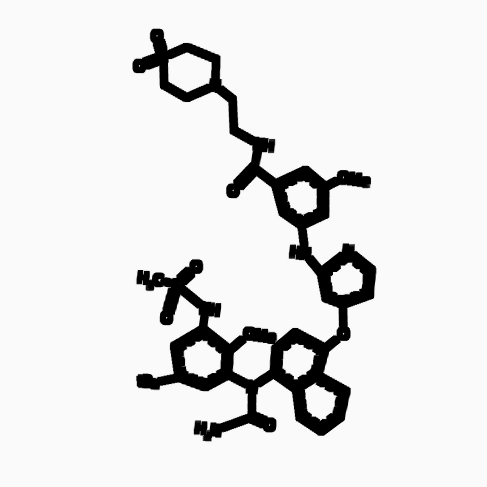 COc1cc(Nc2cc(Oc3ccc(N(C(N)=O)c4cc(C(C)(C)C)cc(NS(C)(=O)=O)c4OC)c4ccccc34)ccn2)cc(C(=O)NCCN2CCS(=O)(=O)CC2)c1